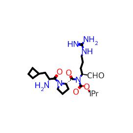 CC(C)OC(=O)N(C(=O)[C@@H]1CCCN1C(=O)[C@H](N)CC1CCC1)[C@H](C=O)CCCNC(=N)N